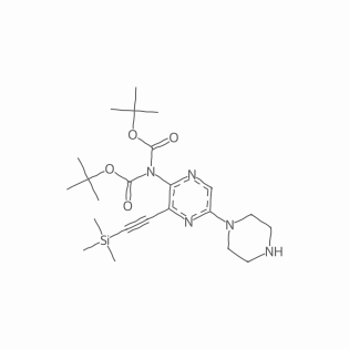 CC(C)(C)OC(=O)N(C(=O)OC(C)(C)C)c1ncc(N2CCNCC2)nc1C#C[Si](C)(C)C